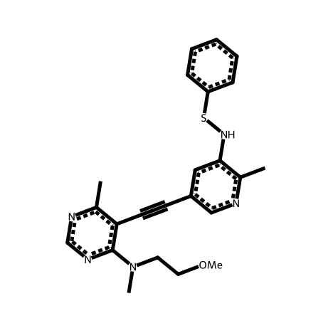 COCCN(C)c1ncnc(C)c1C#Cc1cnc(C)c(NSc2ccccc2)c1